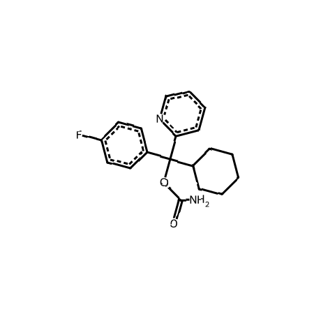 NC(=O)OC(c1ccc(F)cc1)(c1ccccn1)C1CCCCC1